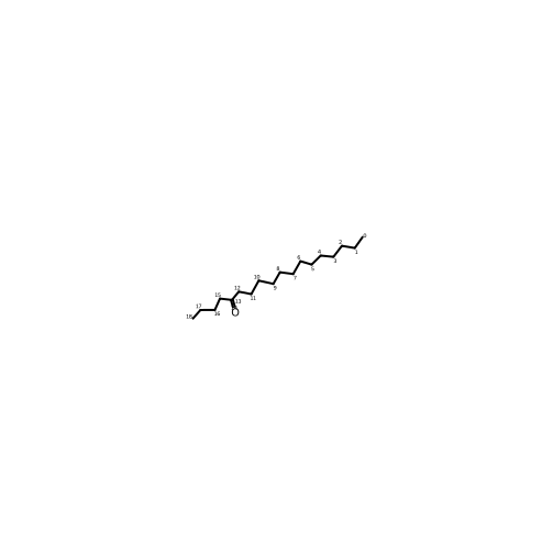 CCCCCCCCCCCCCC(=O)CCCC